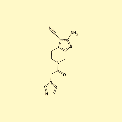 N#Cc1c(N)sc2c1CCN(C(=O)Cn1ccnc1)C2